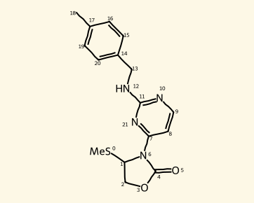 CSC1COC(=O)N1c1ccnc(NCc2ccc(C)cc2)n1